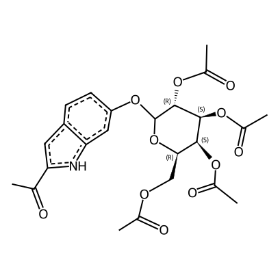 CC(=O)OC[C@H]1OC(Oc2ccc3cc(C(C)=O)[nH]c3c2)[C@H](OC(C)=O)[C@@H](OC(C)=O)[C@H]1OC(C)=O